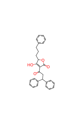 O=C(CC(c1ccccc1)c1ccccc1)C1=C(O)C(CCCc2ccccc2)OC1=O